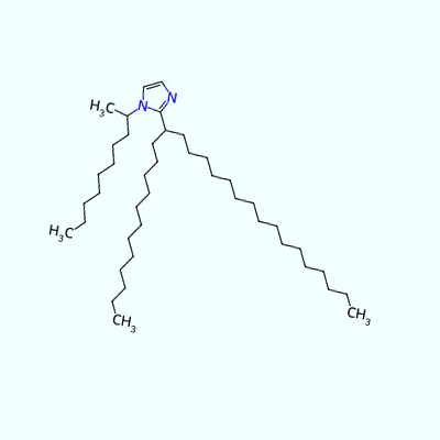 CCCCCCCCCCCCCCCCC(CCCCCCCCCCCC)c1nccn1C(C)CCCCCCCC